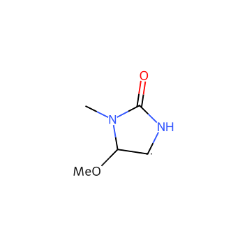 COC1[CH]NC(=O)N1C